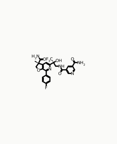 C[C@]1(C(N)=O)COc2c1cc([C@@](O)(CNC(=O)c1cncc(C(N)=O)c1)C(F)(F)F)nc2-c1ccc(F)cc1